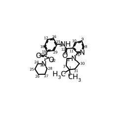 CC1(C)CCN(c2ncccc2C(=O)Nc2cccc(S(=O)(=O)N3CCCCC3)c2)CC1